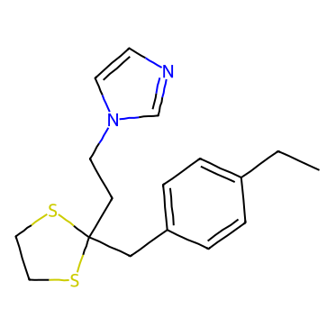 CCc1ccc(CC2(CCn3ccnc3)SCCS2)cc1